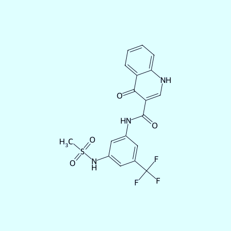 CS(=O)(=O)Nc1cc(NC(=O)c2c[nH]c3ccccc3c2=O)cc(C(F)(F)F)c1